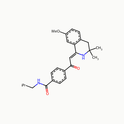 COc1ccc2c(c1)C(=CC(=O)c1ccc(C(=O)NCC(C)C)cc1)NC(C)(C)C2